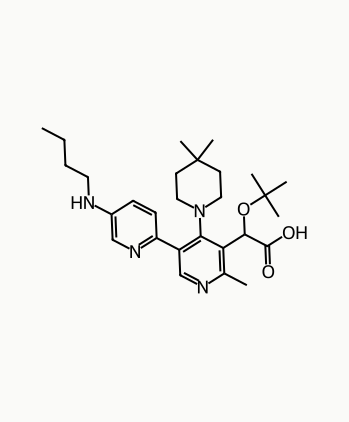 CCCCNc1ccc(-c2cnc(C)c(C(OC(C)(C)C)C(=O)O)c2N2CCC(C)(C)CC2)nc1